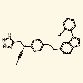 CC#C[C@@H](Cc1nnn[nH]1)c1ccc(OCc2ccc3scc(-c4ccccc4Cl)c3c2)cc1